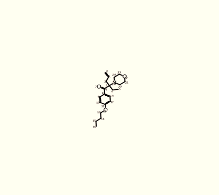 C=CCC(CC)(C(=O)c1ccc(OCCCC)cc1)N1CCOCC1